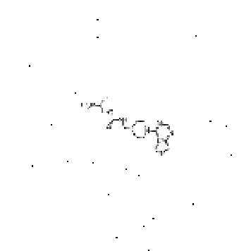 NC(=O)COC(=O)NCC1CCN(c2ncnc3ccsc23)CC1